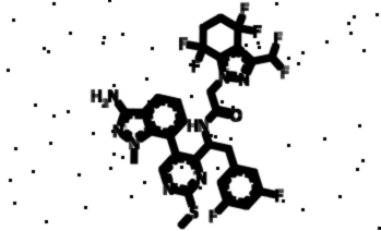 CSc1ncc(-c2cccc3c(N)nn(C)c23)c(C(Cc2cc(F)cc(F)c2)NC(=O)Cn2nc(C(F)F)c3c2C(F)(F)CCC3(F)F)n1